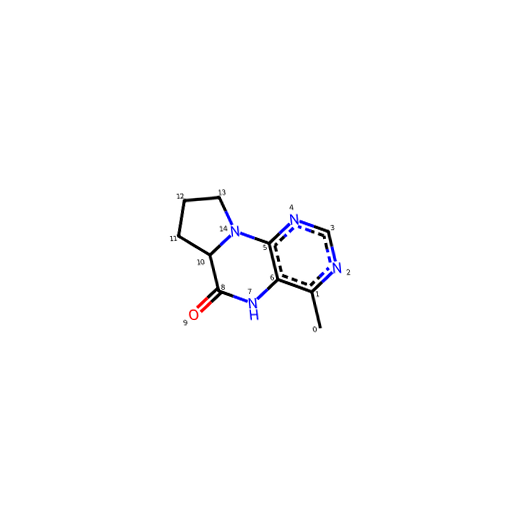 Cc1ncnc2c1NC(=O)C1CCCN21